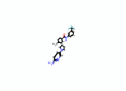 Cc1ccc(C(=O)Nc2cccc(C(F)(F)F)c2)cc1[C@@H]1CCN(c2ccc(N)nc2)C1